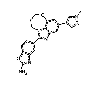 Cn1cc(-c2cc3c4c(c2)nc(-c2ccc5oc(N)nc5c2)n4CCCO3)cn1